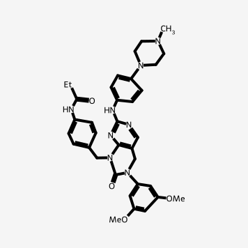 CCC(=O)Nc1ccc(CN2C(=O)N(c3cc(OC)cc(OC)c3)Cc3cnc(Nc4ccc(N5CCN(C)CC5)cc4)nc32)cc1